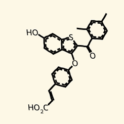 Cc1ccc(C(=O)c2sc3cc(O)ccc3c2Oc2ccc(/C=C/C(=O)O)cc2)c(C)c1